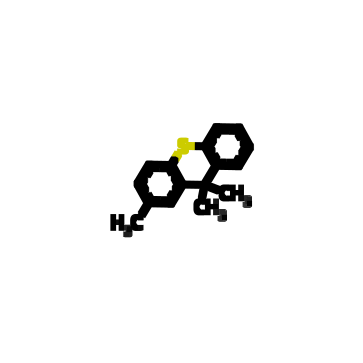 Cc1ccc2c(c1)C(C)(C)c1ccccc1S2